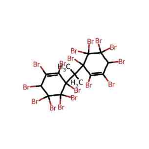 CC(C)(C1(Br)C(Br)=C(Br)C(Br)C(Br)(Br)C1(Br)Br)C1(Br)C(Br)=C(Br)C(Br)C(Br)(Br)C1(Br)Br